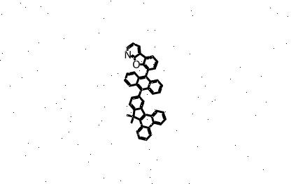 CC1(C)c2ccc(-c3c4ccccc4c(-c4cccc5c4oc4ncccc45)c4ccccc34)cc2-c2c1c1ccccc1c1ccccc21